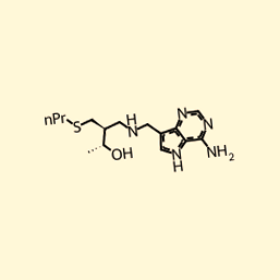 CCCSC[C@@H](CNCc1c[nH]c2c(N)ncnc12)[C@@H](C)O